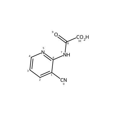 N#Cc1cccnc1NC(=O)C(=O)O